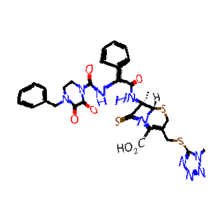 Cn1nnnc1SCC1=C(C(=O)O)N2C(=S)[C@@](C)(NC(=O)C(NC(=O)N3CCN(Cc4ccccc4)C(=O)C3=O)c3ccccc3)[C@@H]2SC1